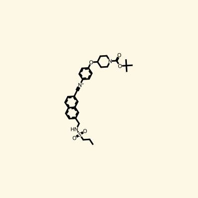 CCCS(=O)(=O)NCc1ccc2ccc(C#[N+]c3ccc(OC4CCN(C(=O)OC(C)(C)C)CC4)cc3)cc2c1